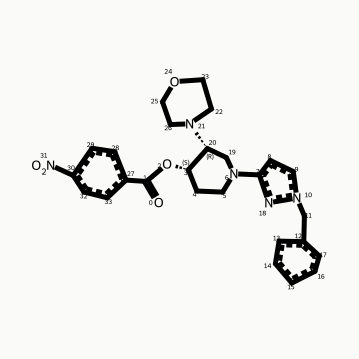 O=C(O[C@H]1CCN(c2ccn(Cc3ccccc3)n2)C[C@H]1N1CCOCC1)c1ccc([N+](=O)[O-])cc1